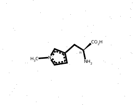 Cn1ccc(C[C@H](N)C(=O)O)c1